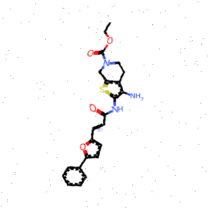 CCOC(=O)N1CCc2c(sc(NC(=O)/C=C/c3ccc(-c4ccccc4)o3)c2N)C1